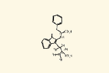 [2H]N([2H])[C@]([2H])(C(=O)O)C([2H])([2H])c1c(N[C@@H](Cc2ccccc2)C(=O)O)[nH]c2ccccc12